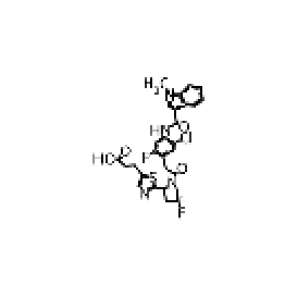 Cn1cc(C(=O)Nc2cc(F)c(CC(=O)N3C[C@@H](F)CC3c3ncc(CCC(=O)O)s3)cc2Cl)c2ccccc21